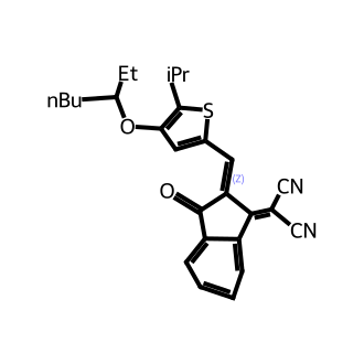 CCCCC(CC)Oc1cc(/C=C2\C(=O)c3ccccc3C2=C(C#N)C#N)sc1C(C)C